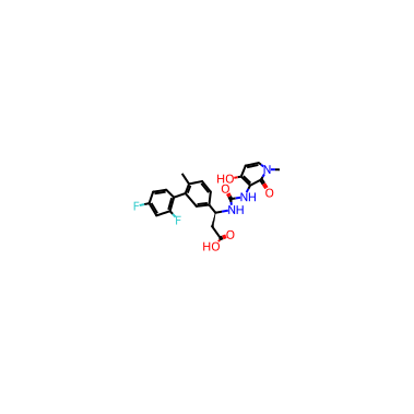 Cc1ccc([C@H](CC(=O)O)NC(=O)Nc2c(O)ccn(C)c2=O)cc1-c1ccc(F)cc1F